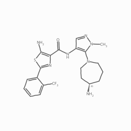 Cn1ncc(NC(=O)c2nc(-c3ccccc3C(F)(F)F)sc2N)c1N1CCC[C@@H](N)CC1